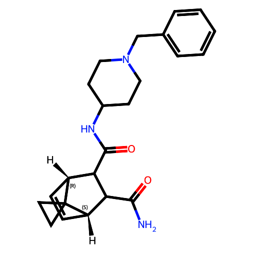 NC(=O)C1C(C(=O)NC2CCN(Cc3ccccc3)CC2)[C@H]2C=C[C@@H]1C21CC1